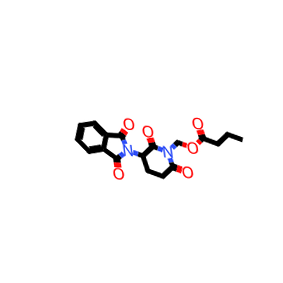 CCCC(=O)OCN1C(=O)CCC(N2C(=O)c3ccccc3C2=O)C1=O